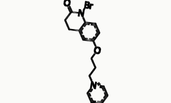 O=C1CCc2cc(OCCC[n+]3ccccc3)ccc2N1Br